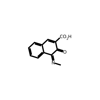 C/N=C1\C(=O)C(C(=O)O)=Cc2ccccc21